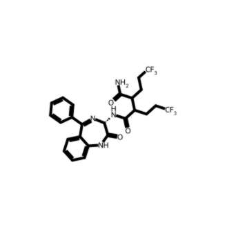 NC(=O)C(CCC(F)(F)F)C(CCC(F)(F)F)C(=O)N[C@H]1N=C(c2ccccc2)c2ccccc2NC1=O